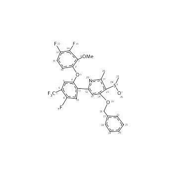 COc1c(Oc2cc(C(F)(F)F)c(F)cc2-c2cc(OCc3ccccc3)c([S+](C)[O-])c(C)n2)ccc(F)c1F